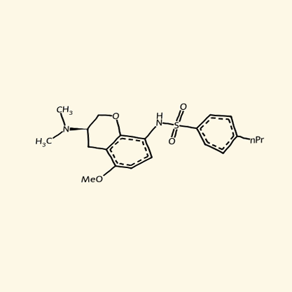 CCCc1ccc(S(=O)(=O)Nc2ccc(OC)c3c2OC[C@H](N(C)C)C3)cc1